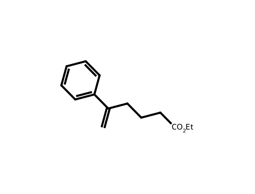 C=C(CCCC(=O)OCC)c1ccccc1